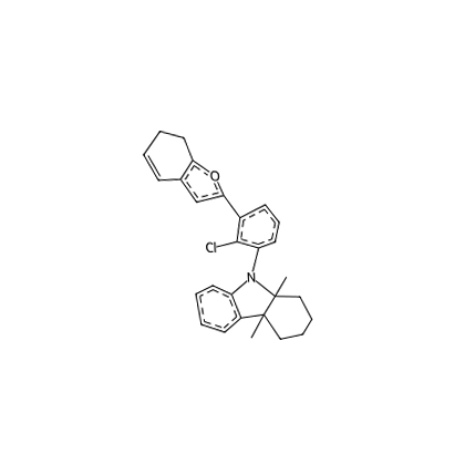 CC12CCCCC1(C)N(c1cccc(-c3cc4c(o3)CCC=C4)c1Cl)c1ccccc12